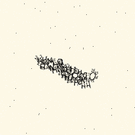 [2H]c1c([2H])c(S(=O)(=O)NC(=O)NC2CCCCC2)c([2H])c([2H])c1C([2H])([2H])C([2H])([2H])NC(=O)c1cnc(C([2H])([2H])[2H])cn1